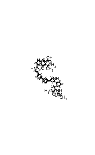 COC(=O)N[C@@H](C(=O)N1CCC[C@H]1c1nc(-c2cnc(-c3ncc(-c4c[nH]c([C@@H]5CCCN5C(=O)[C@@H](C(C)C)N(C)C(=O)O)n4)s3)s2)c[nH]1)C(C)C